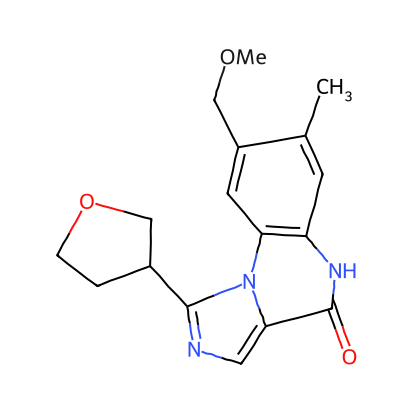 COCc1cc2c(cc1C)[nH]c(=O)c1cnc(C3CCOC3)n12